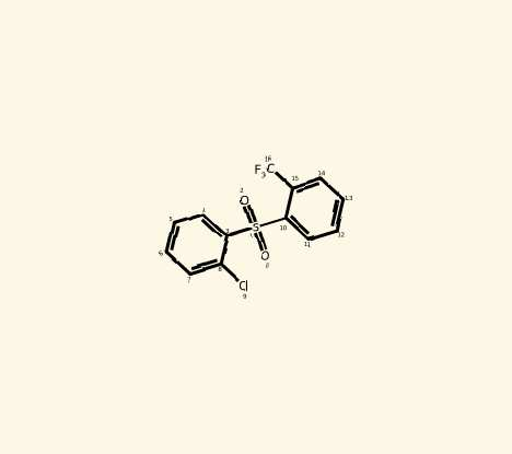 O=S(=O)(c1ccccc1Cl)c1ccccc1C(F)(F)F